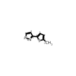 Cc1ccc(C2=N[N]C=C2)s1